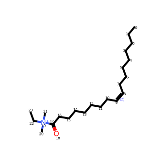 CCCCCCCC/C=C\CCCCCCCC(=O)[N+](C)(C)CC